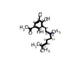 CC(=O)c1cc(Cl)c(O)c(C/C=C(\C)CCC=C(C)C)c1O